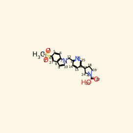 CS(=O)(=O)c1ccc2c(ccn2Cc2ccc(C3CCN(C(=O)O)C3)cn2)c1